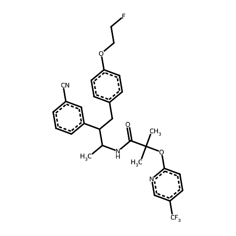 CC(NC(=O)C(C)(C)Oc1ccc(C(F)(F)F)cn1)C(Cc1ccc(OCCF)cc1)c1cccc(C#N)c1